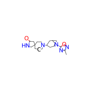 Cc1noc(N2CC3CC(N4CCCC5(CC4)CNC(=O)C5)CC2C3)n1